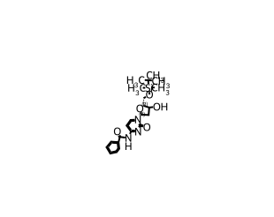 CC(C)(C)[Si](C)(C)OC[C@H]1O[C@@H](n2ccc(NC(=O)c3ccccc3)nc2=O)CC1O